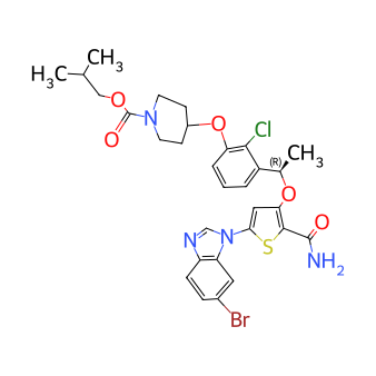 CC(C)COC(=O)N1CCC(Oc2cccc([C@@H](C)Oc3cc(-n4cnc5ccc(Br)cc54)sc3C(N)=O)c2Cl)CC1